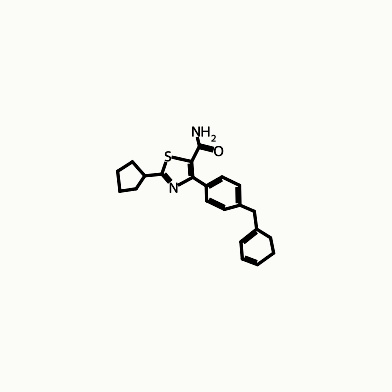 NC(=O)c1sc(C2CCCC2)nc1-c1ccc(CC2=CC=CCC2)cc1